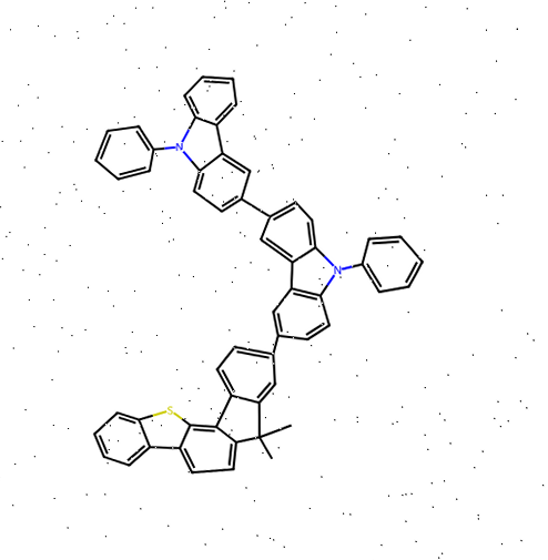 CC1(C)c2cc(-c3ccc4c(c3)c3cc(-c5ccc6c(c5)c5ccccc5n6-c5ccccc5)ccc3n4-c3ccccc3)ccc2-c2c1ccc1c2sc2ccccc21